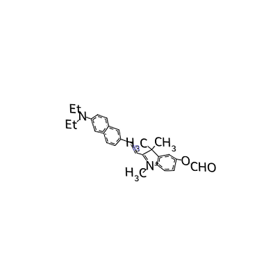 CCN(CC)c1ccc2cc(/C=C/C3=[N+](C)c4ccc(OC=O)cc4C3(C)C)ccc2c1